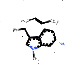 CC(C)Cc1cn(C)c2ccccc12.N.O=C(O)/C=C/C(=O)O